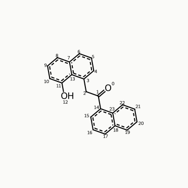 O=C(Cc1cccc2cccc(O)c12)c1cccc2ccccc12